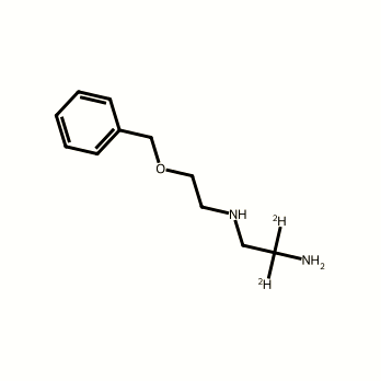 [2H]C([2H])(N)CNCCOCc1ccccc1